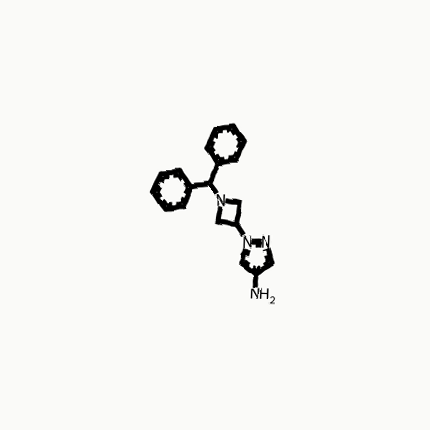 Nc1cnn(C2CN(C(c3ccccc3)c3ccccc3)C2)c1